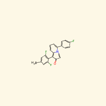 Bc1cc(F)c(-c2c(=O)ccn3c(-c4ccc(F)cc4)cccc23)c(F)c1